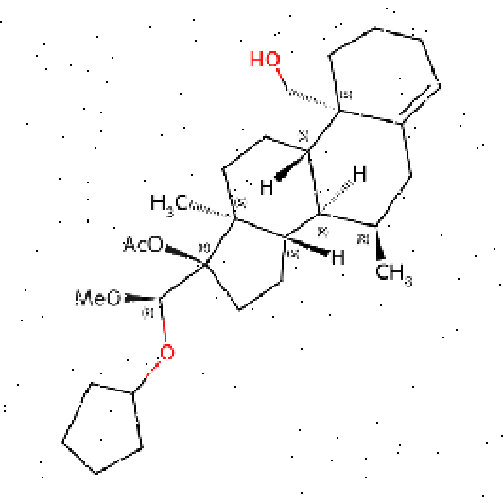 CO[C@H](OC1CCCC1)[C@@]1(OC(C)=O)CC[C@H]2[C@@H]3[C@H](C)CC4=CCCC[C@]4(CO)[C@H]3CC[C@@]21C